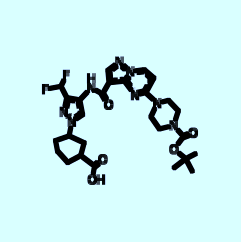 CC(C)(C)OC(=O)N1CCN(c2ccn3ncc(C(=O)Nc4cn(C5CCCC(C(=O)O)C5)nc4C(F)F)c3n2)CC1